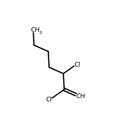 [CH]=C(Cl)C(Cl)CCCC